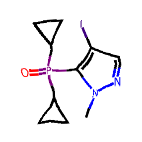 Cn1ncc(I)c1P(=O)(C1CC1)C1CC1